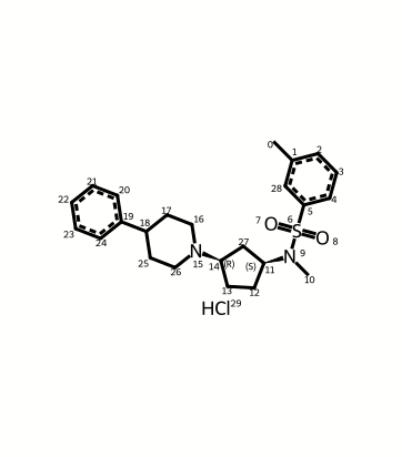 Cc1cccc(S(=O)(=O)N(C)[C@H]2CC[C@@H](N3CCC(c4ccccc4)CC3)C2)c1.Cl